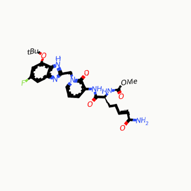 COC(=O)N[C@@H](CC/C=C/C(N)=O)C(=O)Nc1cccn(Cc2nc3cc(F)cc(OC(C)(C)C)c3[nH]2)c1=O